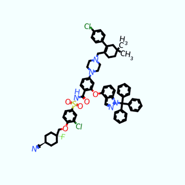 CC1(C)CCC(CN2CCN(c3ccc(C(=O)NS(=O)(=O)c4ccc(OC[C@]5(F)CC[C@H](C#N)CC5)c(Cl)c4)c(Oc4cccc5c4cnn5C(c4ccccc4)(c4ccccc4)c4ccccc4)c3)CC2)=C(c2ccc(Cl)cc2)C1